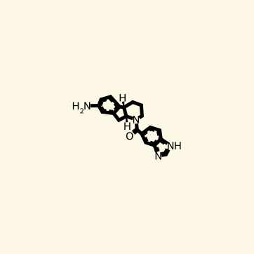 Nc1ccc2c(c1)C[C@@H]1[C@H]2CCCN1C(=O)c1ccc2[nH]cnc2c1